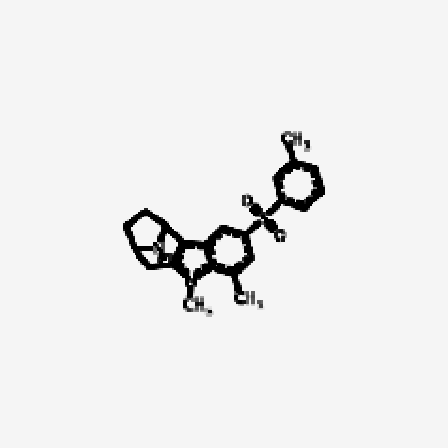 Cc1cccc(S(=O)(=O)c2cc(C)c3c(c2)c2c(n3C)CC3CCC2N3C)c1